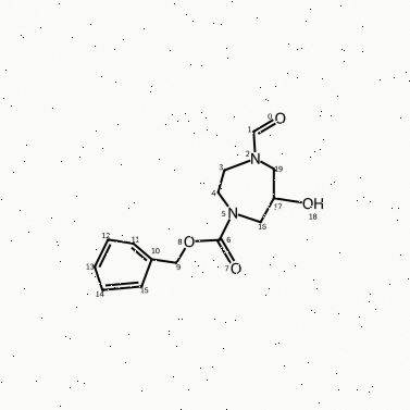 O=CN1CCN(C(=O)OCc2ccccc2)CC(O)C1